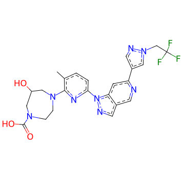 Cc1ccc(-n2ncc3cnc(-c4cnn(CC(F)(F)F)c4)cc32)nc1N1CCN(C(=O)O)CC(O)C1